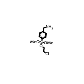 CO[Si](OC)(OCCCl)c1ccc(CN)cc1